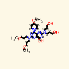 COCCCN(CCCOC)c1nc(N2CCC(OC)CC2)c2nc(N(CCCO)CCCO)nc(O)c2n1